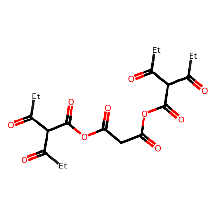 CCC(=O)C(C(=O)CC)C(=O)OC(=O)CC(=O)OC(=O)C(C(=O)CC)C(=O)CC